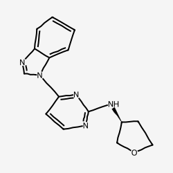 c1ccc2c(c1)ncn2-c1ccnc(N[C@H]2CCOC2)n1